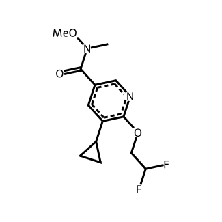 CON(C)C(=O)c1cnc(OCC(F)F)c(C2CC2)c1